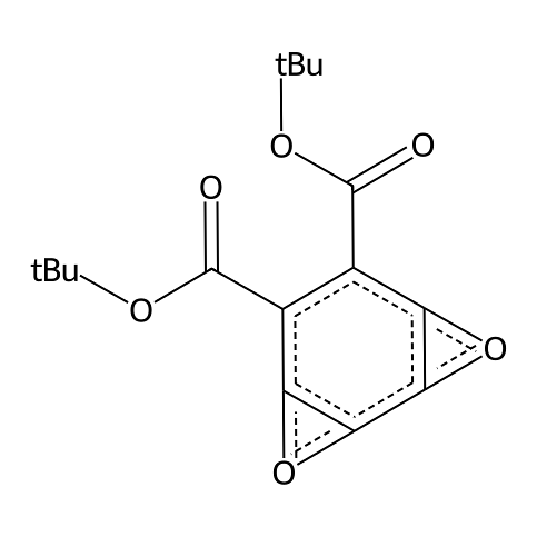 CC(C)(C)OC(=O)c1c(C(=O)OC(C)(C)C)c2oc2c2oc12